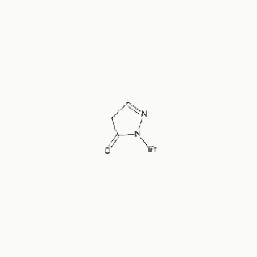 CC(C)N1N=[C]CC1=O